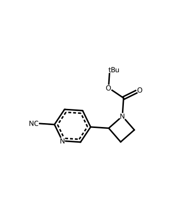 CC(C)(C)OC(=O)N1CCC1c1ccc(C#N)nc1